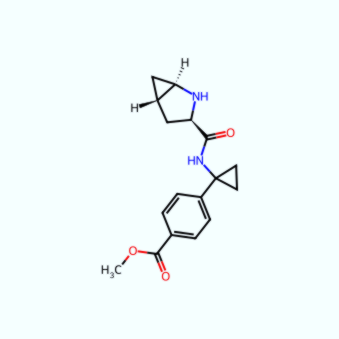 COC(=O)c1ccc(C2(NC(=O)[C@H]3C[C@@H]4C[C@H]4N3)CC2)cc1